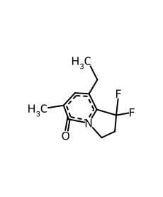 CCc1cc(C)c(=O)n2c1C(F)(F)CC2